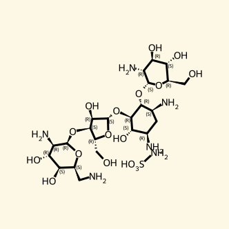 NC[C@@H]1O[C@H](O[C@H]2[C@@H](O)[C@H](O[C@@H]3[C@@H](O)[C@H](N)C[C@H](N)[C@H]3O[C@H]3O[C@H](CO)[C@@H](O)[C@H](O)[C@H]3N)O[C@@H]2CO)[C@H](N)[C@@H](O)[C@@H]1O.NS(=O)(=O)O